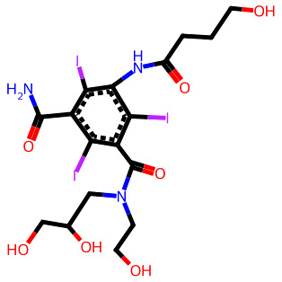 NC(=O)c1c(I)c(NC(=O)CCCO)c(I)c(C(=O)N(CCO)CC(O)CO)c1I